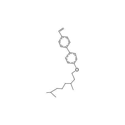 C=Cc1ccc(-c2ccc(OCCC(C)CCCC(C)C)cc2)cc1